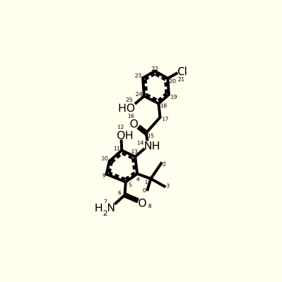 CC(C)(C)c1c(C(N)=O)ccc(O)c1NC(=O)Cc1cc(Cl)ccc1O